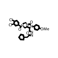 COc1ccc(-n2c(-c3nnc(Cc4ccccc4)o3)c3n(c2=O)CCN(C(=O)c2ccc(Cl)c(Cl)c2)C3)cc1